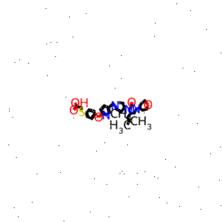 Cc1nc(Oc2ccc(SCC(=O)O)cc2)ccc1CN1CCC(N2C(=O)N(C3CCOCC3)CC2CC(C)C)CC1